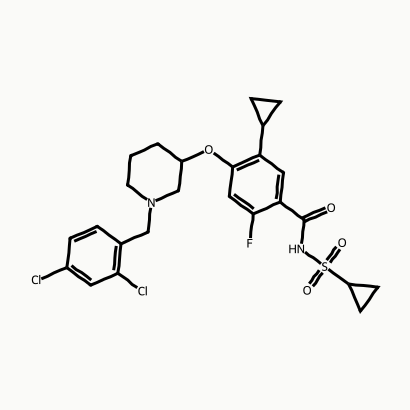 O=C(NS(=O)(=O)C1CC1)c1cc(C2CC2)c(OC2CCCN(Cc3ccc(Cl)cc3Cl)C2)cc1F